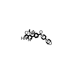 CCNc1c(-c2ccc(C(=O)N3CCC(N4CCOCC4)CC3)cc2OC)cnc2[nH]cc(Cl)c12